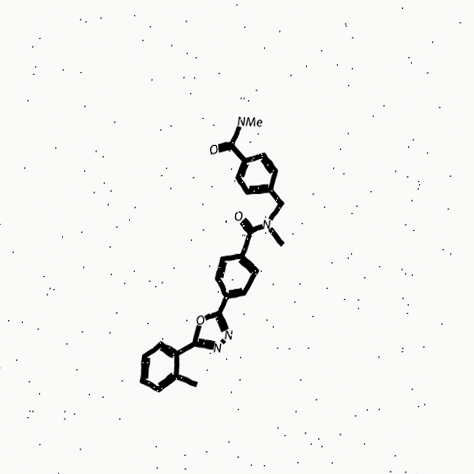 CNC(=O)c1ccc(CN(C)C(=O)c2ccc(-c3nnc(-c4ccccc4C)o3)cc2)cc1